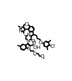 COCCOCCn1c(C(=O)O)c(N2C[C@@H](C)n3c(c(CCCOc4cc(C)c(Cl)c(C)c4)c4ccc(Cl)c(-c5c(C)nn(C)c5C)c43)C2=O)c2cc(C)ccc21